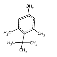 Bc1cc(C)c(C(C)(C)C)c(C)c1